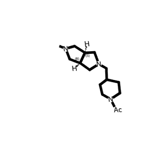 CC(=O)N1CCC(CN2C[C@H]3CN(C)C[C@H]3C2)CC1